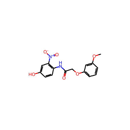 COc1cccc(OCC(=O)Nc2ccc(O)cc2[N+](=O)[O-])c1